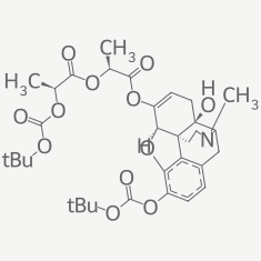 C[C@H](OC(=O)OC(C)(C)C)C(=O)O[C@@H](C)C(=O)OC1=CC[C@]2(O)C3Cc4ccc(OC(=O)OC(C)(C)C)c5c4[C@@]2(CCN3C)[C@H]1O5